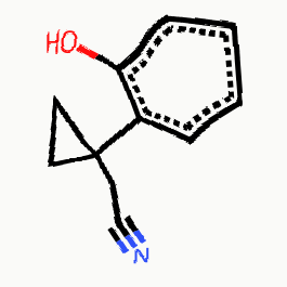 N#CC1(c2ccccc2O)CC1